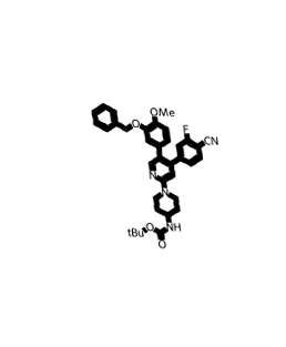 COc1ccc(-c2cnc(N3CCC(NC(=O)OC(C)(C)C)CC3)cc2-c2ccc(C#N)c(F)c2)cc1OCc1ccccc1